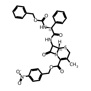 CC1=C(C(=O)OCc2ccc([N+](=O)[O-])cc2)N2C(=O)C(NC(=O)[C@@H](NC(=O)OCc3ccccc3)c3ccccc3)[C@@H]2SC1